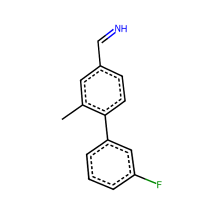 Cc1cc(C=N)ccc1-c1cccc(F)c1